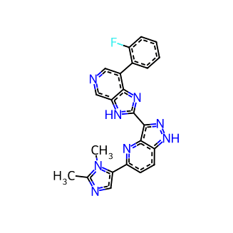 Cc1ncc(-c2ccc3[nH]nc(-c4nc5c(-c6ccccc6F)cncc5[nH]4)c3n2)n1C